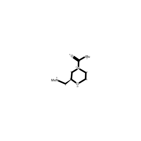 CNC[C@H]1CN(C(=O)C(C)(C)C)CCO1